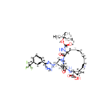 CC(C)(C)OC(=O)N[C@H]1CCCCC/C=C\[C@@H]2C[C@@]2(C(=O)O)NC(=O)[C@@H]2C[C@@H](n3nnc(-c4cccc(C(F)(F)F)c4)n3)CN2C1=O